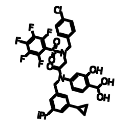 CC(C)c1cc(CN(C(=O)CN(Cc2ccc(Cl)cc2)S(=O)(=O)c2c(F)c(F)c(F)c(F)c2F)c2ccc(C(O)O)c(O)c2)cc(C2CC2)c1